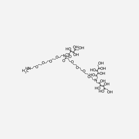 CNCCOCCOCCOCCOCCN(C[C@H](O)[C@@H](O)[C@H](O)[C@H](O)CO)C(=O)CCOCCOCCOCCOCCN(C[C@H](O)[C@@H](O)[C@H](O)[C@H](O)CO)C[C@H](O)[C@@H](O)[C@H](O)[C@H](O)CO